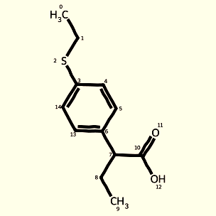 CCSc1ccc(C(CC)C(=O)O)cc1